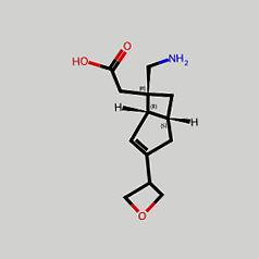 NC[C@@]1(CC(=O)O)C[C@@H]2CC(C3COC3)=C[C@@H]21